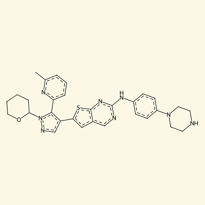 Cc1cccc(-c2c(-c3cc4cnc(Nc5ccc(N6CCNCC6)cc5)nc4s3)cnn2C2CCCCO2)n1